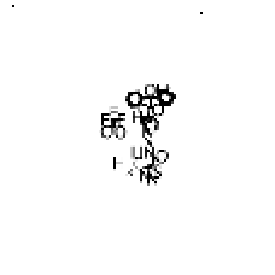 Cc1nnsc1C(=O)NCC[N+]12CCC(CC1)[C@@H](OC(=O)C(O)(c1ccccc1)c1ccccc1)C2.O=C([O-])C(F)(F)F